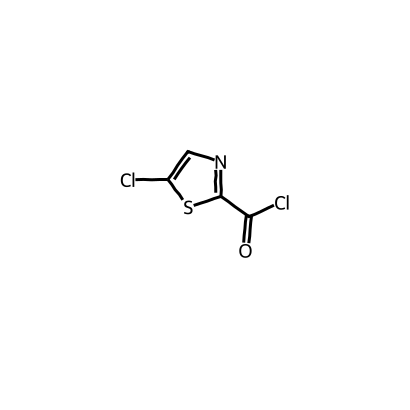 O=C(Cl)c1ncc(Cl)s1